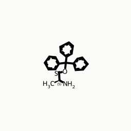 C[C@H](N)C(=S)OC(c1ccccc1)(c1ccccc1)c1ccccc1